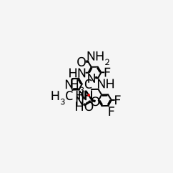 Cc1ncc(Nc2nc(N[C@@H](c3ccc(F)c(F)c3)[C@H](C)NC(=O)O)c(F)cc2C(N)=O)cc1-n1nccn1